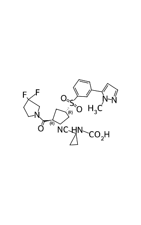 Cn1nccc1-c1cccc(S(=O)(=O)[C@@H]2CC[C@@H](C(=O)N3CCC(F)(F)C3)C2)c1.N#CC1(NC(=O)O)CC1